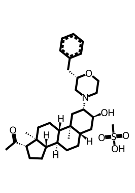 CC(=O)[C@H]1CC[C@H]2[C@@H]3CC[C@H]4C[C@H](O)[C@@H](N5CCO[C@@H](Cc6ccccc6)C5)C[C@]4(C)[C@H]3CC[C@]12C.CS(=O)(=O)O